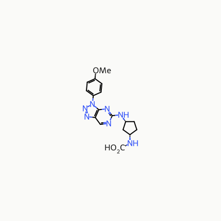 COc1ccc(-n2nnc3cnc(N[C@H]4CC[C@@H](NC(=O)O)C4)nc32)cc1